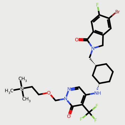 C[Si](C)(C)CCOCn1ncc(N[C@H]2CCC[C@@H](CN3Cc4cc(Br)c(F)cc4C3=O)C2)c(C(F)(F)F)c1=O